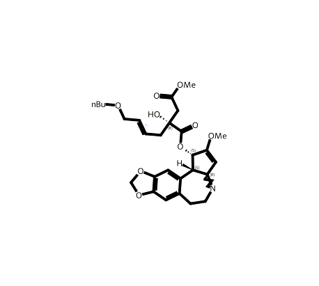 CCCCOC/C=C/C[C@@](O)(CC(=O)OC)C(=O)O[C@@H]1C(OC)=C[C@]23CCCN2CCc2cc4c(cc2[C@H]13)OCO4